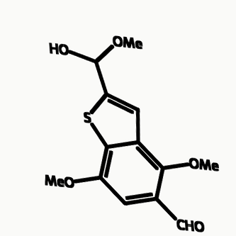 COc1c(C=O)cc(OC)c2sc(C(O)OC)cc12